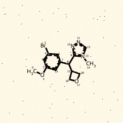 COc1cc(Br)cc(C(c2nncn2C)C2COC2)c1